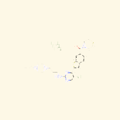 CN1CCN(CCCNc2ncc(Cl)c(-c3cc4ccc(C(=O)N5CCSCC5)cc4s3)n2)CC1.Cl.Cl.Cl